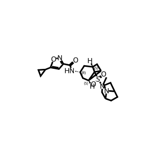 CCN1C2CCC1CN(S(=O)(=O)C13C4C[C@H]1C[C@@H](NC(=O)c1cc(C5CC5)on1)C[C@@H]43)C2